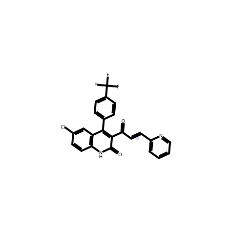 O=C(/C=C/c1ccccn1)c1c(-c2ccc(C(F)(F)F)cc2)c2cc(Cl)ccc2[nH]c1=O